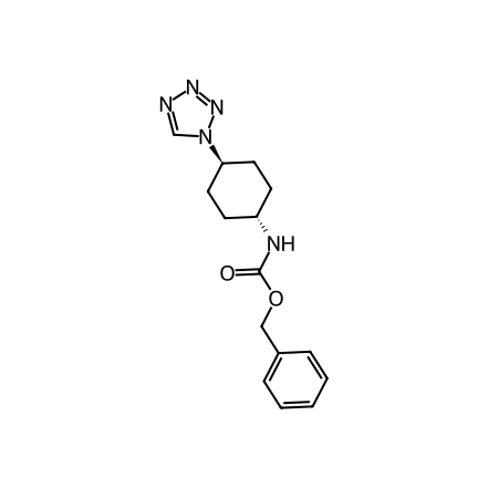 O=C(N[C@H]1CC[C@H](n2cnnn2)CC1)OCc1ccccc1